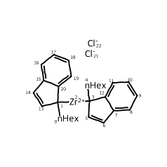 CCCCCC[C]1([Zr+2][C]2(CCCCCC)C=Cc3ccccc32)C=Cc2ccccc21.[Cl-].[Cl-]